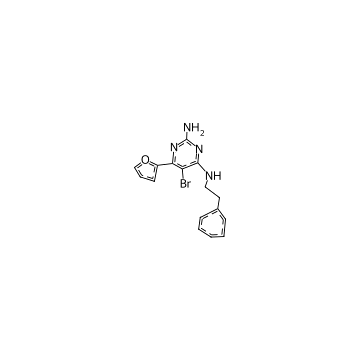 Nc1nc(NCCc2ccccc2)c(Br)c(-c2ccco2)n1